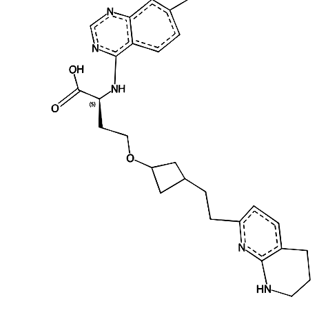 O=C(O)[C@H](CCOC1CC(CCc2ccc3c(n2)NCCC3)C1)Nc1ncnc2cc(F)ccc12